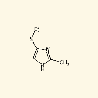 CCSc1c[nH]c(C)n1